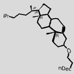 CCCCCCCCCCCCOC1CC[C@@]2(C)C(=CCC3C2CC[C@@]2(C)C3CC[C@@H]2[C@H](C)CCCC(C)C)C1